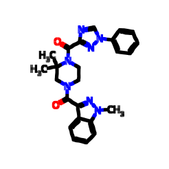 Cn1nc(C(=O)N2CCN(C(=O)c3ncn(-c4ccccc4)n3)C(C)(C)C2)c2ccccc21